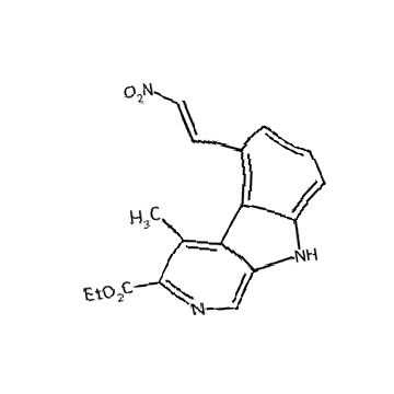 CCOC(=O)c1ncc2[nH]c3cccc(/C=C/[N+](=O)[O-])c3c2c1C